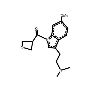 COc1ccc2c(CCN(C)C)cn(C(=O)C3COC3)c2c1